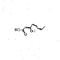 C\C=C/C=C\C(O)=C\C(=O)O